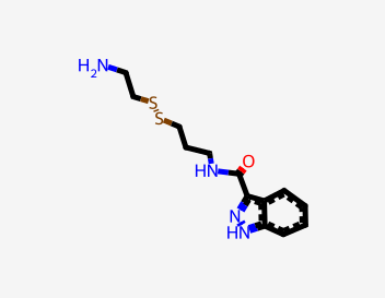 NCCSSCCCNC(=O)c1n[nH]c2ccccc12